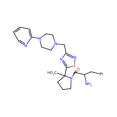 CC(C)CC(N)C(=O)N1CCCC1(C(=O)O)c1nc(CN2CCN(c3ccccn3)CC2)ns1